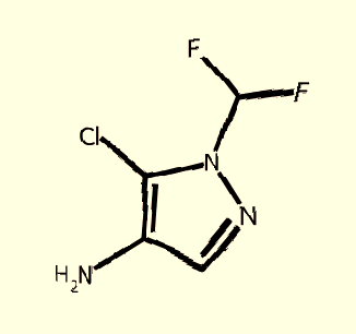 Nc1cnn(C(F)F)c1Cl